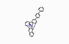 c1ccc(-c2ccc(-c3cc4c5cccc6c7cc8ccccc8c8c(c3)c4n(c56)c78)cc2)cc1